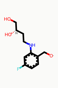 [O]Cc1ccc(F)cc1NCC[C@H](O)CO